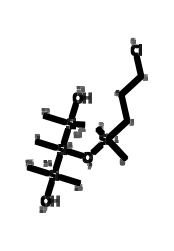 C[Si](C)(CCCCl)O[Si](C)([Si](C)(C)O)[Si](C)(C)O